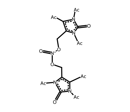 CC(=O)c1c(CO[N+](=O)OCc2c(C(C)=O)n(C(C)=O)c(=O)n2C(C)=O)n(C(C)=O)c(=O)n1C(C)=O